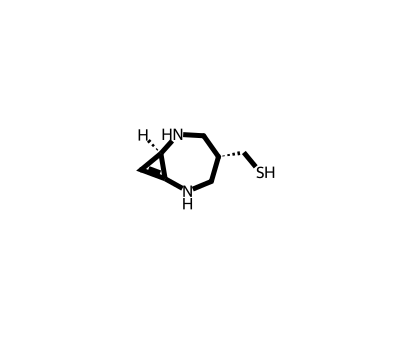 SC[C@@H]1CNC2=C[C@H]2NC1